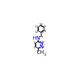 Cc1ccc(NCc2ccccc2)nn1